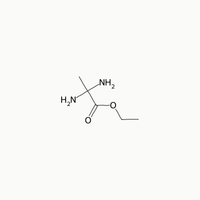 CCOC(=O)C(C)(N)N